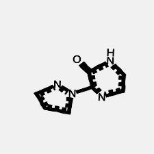 O=c1[nH]ccnc1-n1cccn1